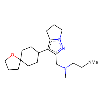 CNCCN(C)Cc1nn2c(c1C1CCC3(CCCO3)CC1)CCC2